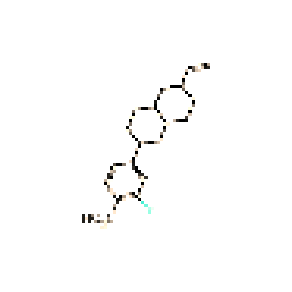 C=CC1CCC2CC(c3ccc(C(=O)O)c(F)c3)CCC2C1